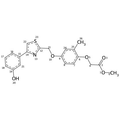 COC(=O)COc1ccc(OCc2nc(-c3cccc(O)c3)cs2)cc1C